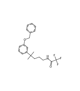 CC(C)(CCCNC(=O)C(F)(F)F)c1cccc(OCc2ccccc2)c1